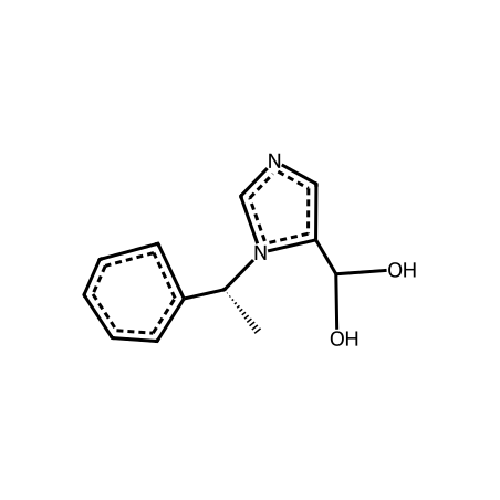 C[C@H](c1ccccc1)n1cncc1C(O)O